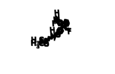 CN(C)C(=O)C=CCCNCCOc1ccc(C(=C(CCF)c2ccccc2)c2ccc3[nH]nc(F)c3c2)cc1